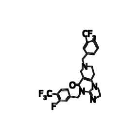 O=C1C2=C(CCN(Cc3cccc(C(F)(F)F)c3)C2)N2CCN=C2N1Cc1ccc(C(F)(F)F)c(F)c1